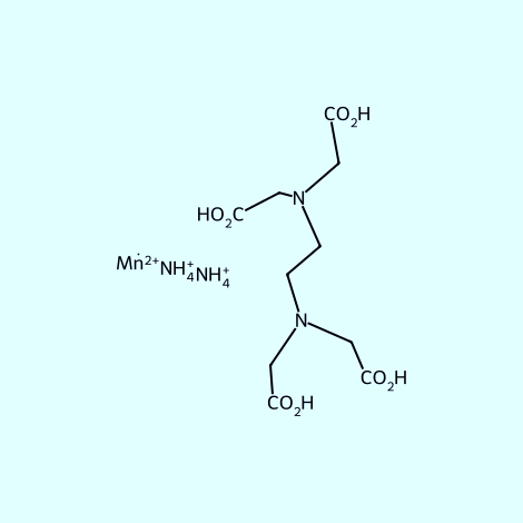 O=C(O)CN(CCN(CC(=O)O)CC(=O)O)CC(=O)O.[Mn+2].[NH4+].[NH4+]